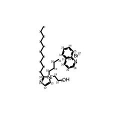 CCCCCCCCCCC1=NC=C[N+]1(CCO)CCCC.[Br-].c1ccc2ncccc2c1